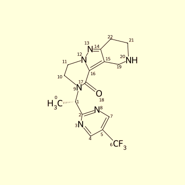 C[C@@H](c1ncc(C(F)(F)F)cn1)N1CCn2nc3c(c2C1=O)CNCC3